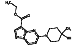 CCOC(=O)c1cnn2ccc(N3CCC(C)(O)CC3)nc12